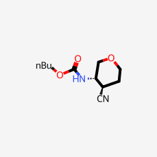 CCCCOC(=O)N[C@@H]1COCC[C@H]1C#N